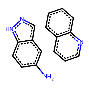 Nc1ccc2[nH]ncc2c1.c1ccc2ncccc2c1